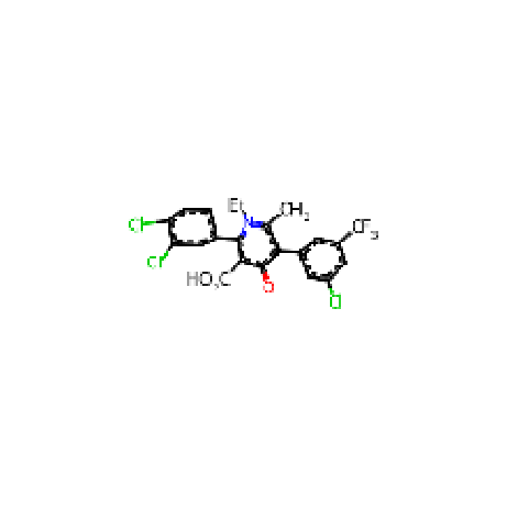 CCn1c(C)c(-c2cc(Cl)cc(C(F)(F)F)c2)c(=O)c(C(=O)O)c1-c1ccc(Cl)c(Cl)c1